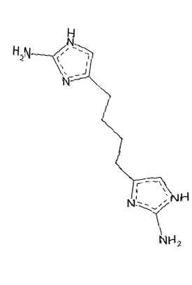 Nc1nc(CCCCc2c[nH]c(N)n2)c[nH]1